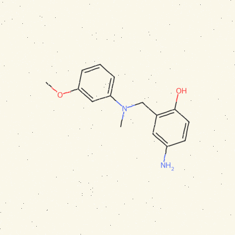 COc1cccc(N(C)Cc2cc(N)ccc2O)c1